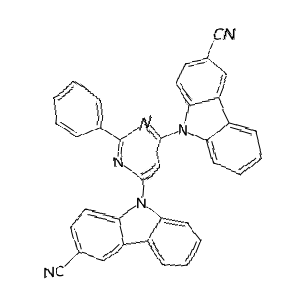 N#Cc1ccc2c(c1)c1ccccc1n2-c1cc(-n2c3ccccc3c3cc(C#N)ccc32)nc(-c2ccccc2)n1